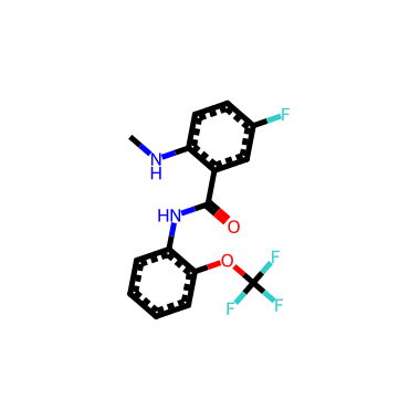 CNc1ccc(F)cc1C(=O)Nc1ccccc1OC(F)(F)F